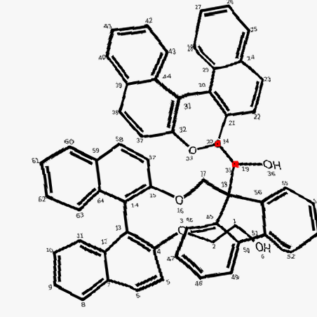 OCCOc1ccc2ccccc2c1-c1c(OCC2(COc3ccc4ccccc4c3-c3c(OCCO)ccc4ccccc34)c3ccccc3-c3ccccc32)ccc2ccccc12